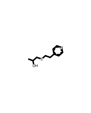 CC(O)CSCCc1ccncc1